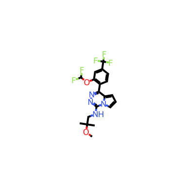 COC(C)(C)CNc1nnc(-c2ccc(C(F)(F)F)cc2OC(F)F)c2cccn12